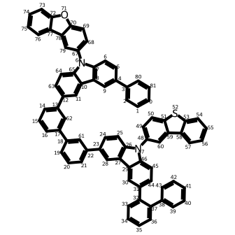 c1ccc(-c2ccc3c(c2)c2cc(-c4cccc(-c5cccc(-c6ccc7c(c6)c6cc(-c8ccccc8-c8ccccc8)ccc6n7-c6ccc7sc8ccccc8c7c6)c5)c4)ccc2n3-c2ccc3oc4ccccc4c3c2)cc1